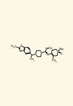 C=N/C(=N\C1=C(C)CS(=N)(=O)CC1)N1CCN(C(C)c2ccc3sc(C)nc3c2)CC1